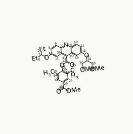 CCC(CC)Oc1ccc2nc3ccc(OC(COC)COC)cc3c(C(=O)Oc3c(C)cc(C(=O)OC)cc3C)c2c1